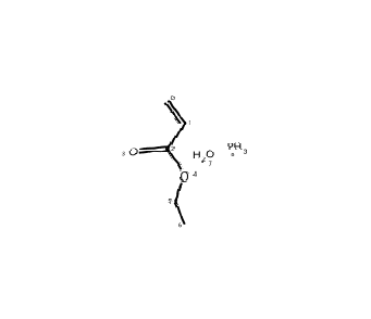 C=CC(=O)OCC.O.P